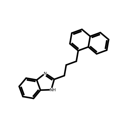 c1ccc2c(CCCc3nc4ccccc4[nH]3)cccc2c1